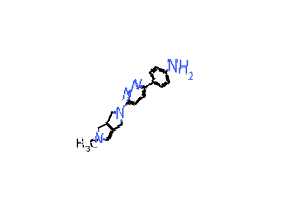 CN1C=C2CN(c3ccc(-c4ccc(N)cc4)nn3)CC2C1